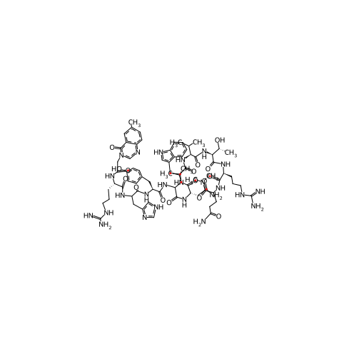 Cc1ccc2ncn(CC(=O)N[C@@H](CCCNC(=N)N)C(=O)NC(Cc3c[nH]cn3)C(=O)N[C@@H](Cc3ccc(O)cc3)C(=O)NC(CC(C)C)C(=O)N[C@@H](CC(N)=O)C(=O)NC(Cc3c[nH]c4ccccc34)C(=O)N[C@H](C(=O)N[C@H](C(=O)N[C@@H](CCCNC(=N)N)C(=O)NC(CCC(N)=O)C(=O)N(C)C)[C@@H](C)O)C(C)C)c(=O)c2c1